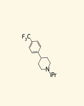 CC(C)N1CCC(c2ccc(C(F)(F)F)cc2)CC1